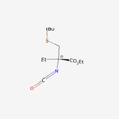 CCOC(=O)[C@@](CC)(CSC(C)(C)C)N=C=O